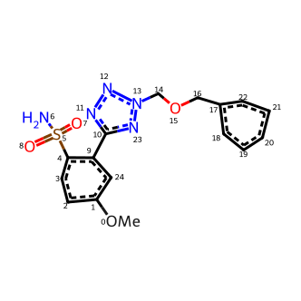 COc1ccc(S(N)(=O)=O)c(-c2nnn(COCc3ccccc3)n2)c1